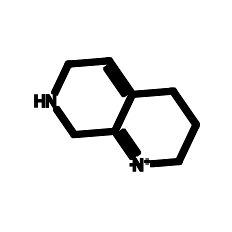 C1=C2CCC[N+]=C2CNC1